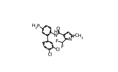 Cn1cc(C(=O)Nc2ccc(P)cc2-c2ccc(Cl)c(Cl)c2)c(C(F)F)n1